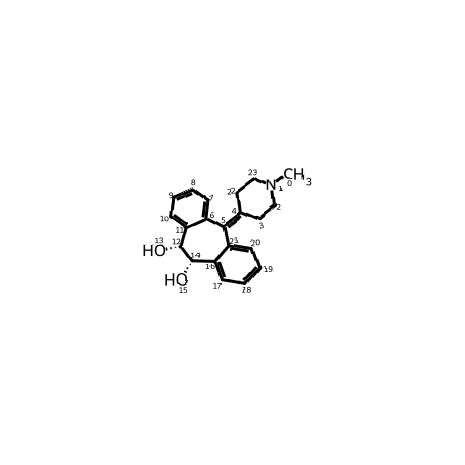 CN1CCC(=C2c3ccccc3[C@@H](O)[C@@H](O)c3ccccc32)CC1